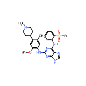 Cc1cc(Nc2nc(Nc3ccccc3S(=O)(=O)C(C)C)c3nc[nH]c3n2)c(OC(C)C)cc1C1CCN(C)CC1